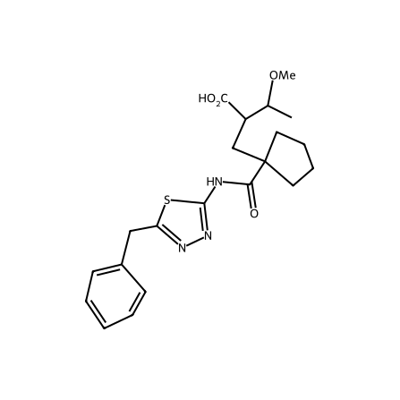 COC(C)C(CC1(C(=O)Nc2nnc(Cc3ccccc3)s2)CCCC1)C(=O)O